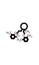 Cc1cccc(C)c1OCCCC1CCCCCCCC1(C)CCOc1c(C)cccc1C